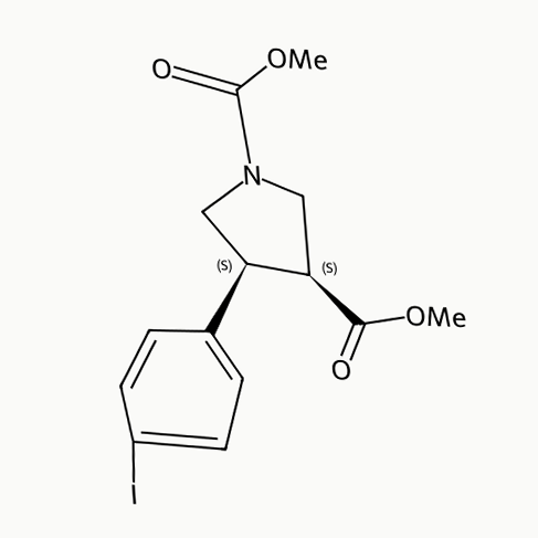 COC(=O)[C@@H]1CN(C(=O)OC)C[C@@H]1c1ccc(I)cc1